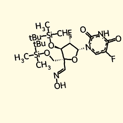 CC(C)(C)[Si](C)(C)OC[C@@]1(C=NO)O[C@@H](n2cc(F)c(=O)[nH]c2=O)[C@@H](F)[C@@H]1O[Si](C)(C)C(C)(C)C